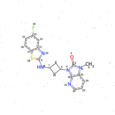 Cn1c(=O)n(C2CC(Nc3nc4cc(F)ccc4s3)C2)c2ncccc21